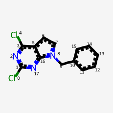 Clc1nc(Cl)c2ccn(Cc3ccccc3)c2n1